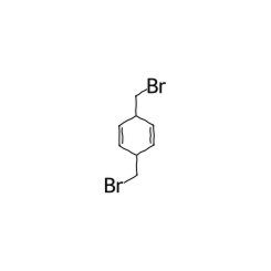 BrCC1C=CC(CBr)C=C1